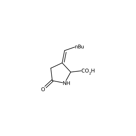 CCCCC=C1CC(=O)NC1C(=O)O